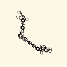 CC(C)(c1ccc(OCc2ccnc(N3CCN(C4CN(C5CN(c6ccc7c(c6)C(=O)N(C6CCC(=O)NC6=O)C7=O)C5)C4)CC3)n2)cc1)c1cc(Cl)c(OCCCl)c(C#N)c1